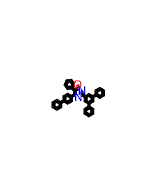 c1ccc(-c2ccc(-c3nc(-c4cc(-c5ccccc5)cc(-c5ccccc5)c4)nc4oc5ccccc5c34)cc2)cc1